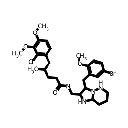 COc1ccc(Br)cc1CC1C(C[N]C(=O)CCC(C)Cc2ccc(OC)c(OC)c2Cl)NC2CCCNN21